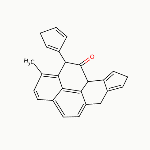 Cc1ccc2ccc3c4c2c1C(C1=CCC=C1)C(=O)C4C1=CCC=C1C3